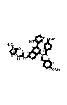 CCc1ccncc1-c1cc2cc(NC(=O)N[C@H]3CCN(C)C3=O)ncc2c(N(Cc2ccc(OC)cc2)Cc2ccc(OC)cc2)n1